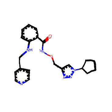 O=C(NOCc1cn(C2CCCC2)nn1)c1ccccc1NCc1ccncc1